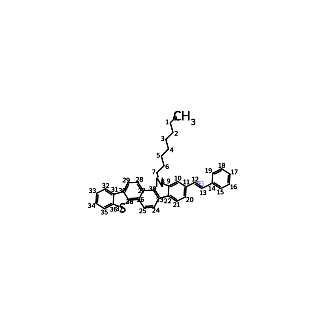 CCCCCCCCn1c2cc(/C=C/c3ccccc3)ccc2c2ccc3c(ccc4c5ccccc5sc43)c21